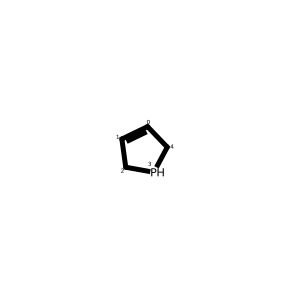 C1=CCPC1